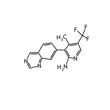 Cc1c(C(F)(F)F)cnc(N)c1-c1ccc2cncnc2c1